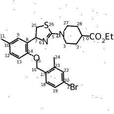 CCOC(=O)C1CCN(C2=NC(c3cc(C)ccc3OCc3ccc(Br)cc3C)CS2)CC1